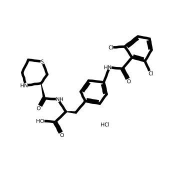 Cl.O=C(Nc1ccc(C[C@H](NC(=O)[C@@H]2CSCCN2)C(=O)O)cc1)c1c(Cl)cccc1Cl